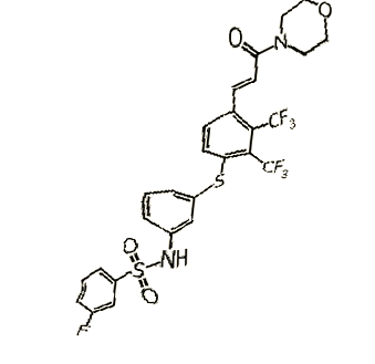 O=C(C=Cc1ccc(Sc2cccc(NS(=O)(=O)c3cccc(F)c3)c2)c(C(F)(F)F)c1C(F)(F)F)N1CCOCC1